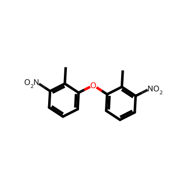 Cc1c(Oc2cccc([N+](=O)[O-])c2C)cccc1[N+](=O)[O-]